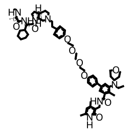 CCN(c1cc(-c2ccc(OCCOCCOCCOc3ccc(CCN4CC[C@@H]5CCN(C(=O)[C@@H](NC(=O)[C@H](C)NC)C6CCCCC6)[C@@H]5C4)cc3)cc2)cc(C(=O)NCc2c(C)cc(C)[nH]c2=O)c1C)C1CCOCC1